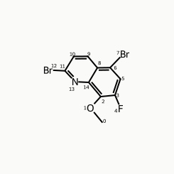 COc1c(F)cc(Br)c2ccc(Br)nc12